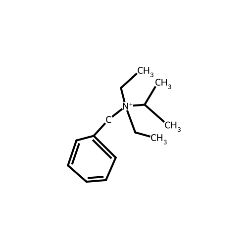 CC[N+](CC)(Cc1ccccc1)C(C)C